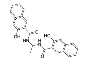 CC(NC(=O)c1cc2ccccc2cc1O)NC(=O)c1cc2ccccc2cc1O